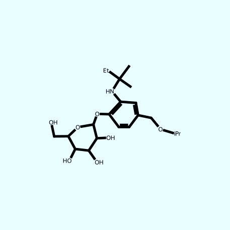 CCC(C)(C)Nc1cc(COC(C)C)ccc1OC1OC(CO)C(O)C(O)C1O